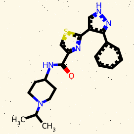 CC(C)N1CCC(NC(=O)c2csc(-c3c[nH]nc3-c3ccccc3)n2)CC1